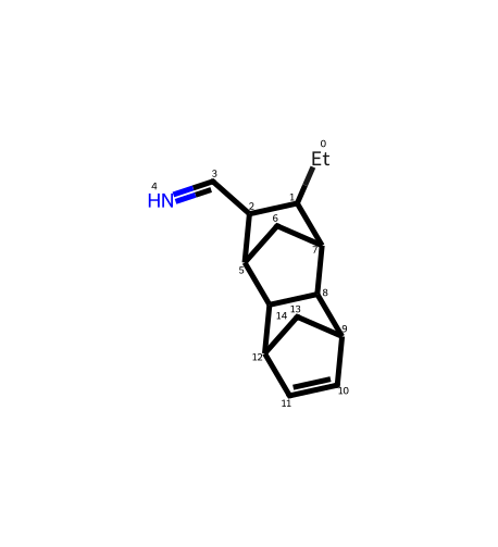 CCC1C(C=N)C2CC1C1C3C=CC(C3)C21